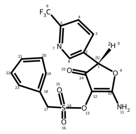 [2H][C@@]1(c2ccc(C(F)(F)F)nc2)OC(N)=C(OS(=O)(=O)Cc2ccccc2)C1=O